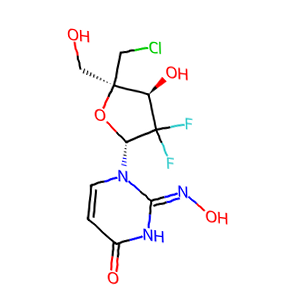 O=c1ccn([C@@H]2O[C@@](CO)(CCl)[C@@H](O)C2(F)F)/c(=N/O)[nH]1